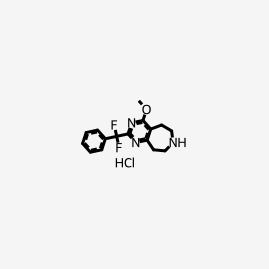 COc1nc(C(F)(F)c2ccccc2)nc2c1CCNCC2.Cl